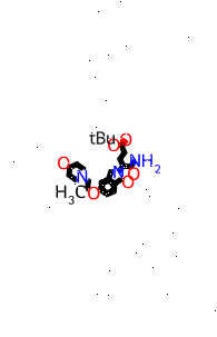 CC(CN1CCC(=O)CC1)Oc1ccc2c(c1)CN(C(CCC(=O)OC(C)(C)C)C(N)=O)C2=O